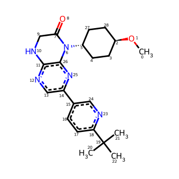 CO[C@H]1CC[C@H](N2C(=O)CNc3ncc(-c4ccc(C(C)(C)C)nc4)nc32)CC1